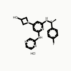 C[C@H](Nc1cc(N2CC(O)C2)cc(Nc2cnccn2)n1)c1ccc(F)cc1.Cl